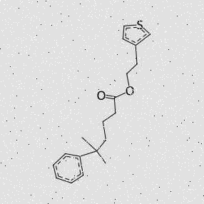 CC(C)(CCCC(=O)OCCc1ccsc1)c1ccccc1